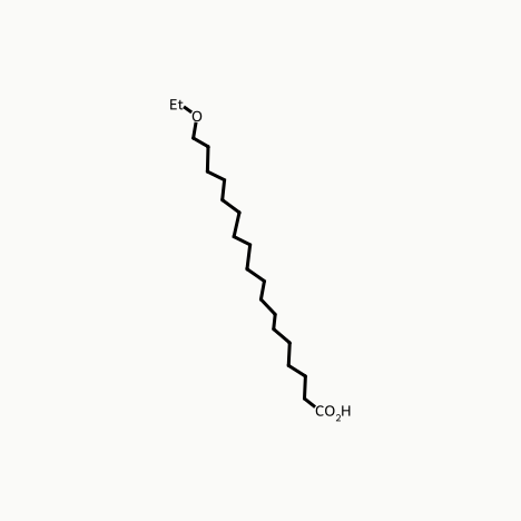 CCOCCCCCCCCCCCCCCCCCC(=O)O